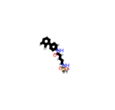 CC1CCCC(c2ccc(NC(=O)CCCCNS(=O)(=O)C(C)C)cc2)C1C